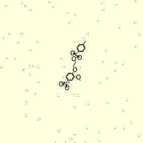 COc1cc([N+](=O)[O-])ccc1OCCOS(=O)(=O)c1ccc(C)cc1